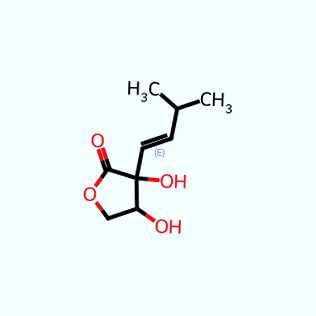 CC(C)/C=C/C1(O)C(=O)OCC1O